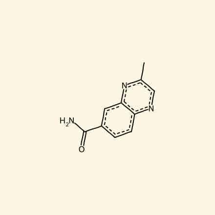 Cc1cnc2ccc(C(N)=O)cc2n1